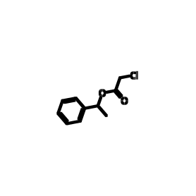 CC(OC(=O)CCl)c1ccccc1